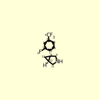 Fc1cc(C(F)(F)F)ccc1[C@]12CNC[C@H]1C2